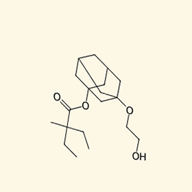 CCC(C)(CC)C(=O)OC12CC3CC(CC(OCCO)(C3)C1)C2